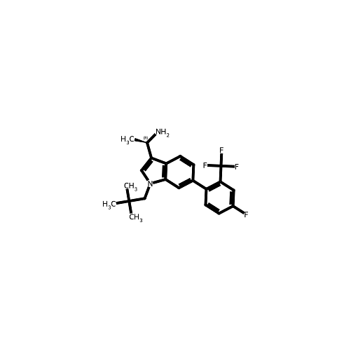 C[C@@H](N)c1cn(CC(C)(C)C)c2cc(-c3ccc(F)cc3C(F)(F)F)ccc12